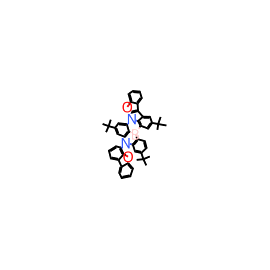 CC(C)(C)c1ccc2c(c1)N(c1cccc3c1oc1ccccc13)c1cc(C(C)(C)C)cc3c1B2c1cc(C(C)(C)C)cc2c4c5ccccc5oc4n-3c12